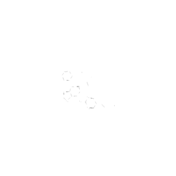 Cc1ccc(-c2c([C@H](OC(C)(C)C)C(=O)O)c(C)c3c4c2cc(C)n4CCN3c2ncc(C3=CCN(C)CC3)cn2)cc1